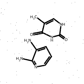 Cc1c[nH]c(=O)[nH]c1=O.Nc1cccnc1N